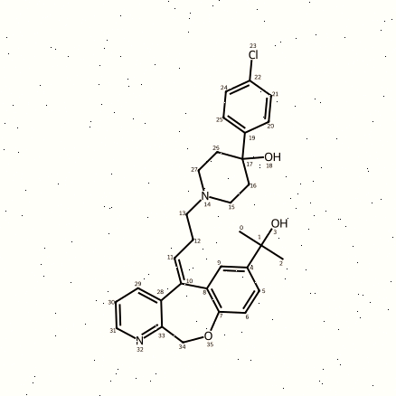 CC(C)(O)c1ccc2c(c1)C(=CCCN1CCC(O)(c3ccc(Cl)cc3)CC1)c1cccnc1CO2